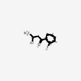 CC(Cl)CC(=O)c1ccccc1F